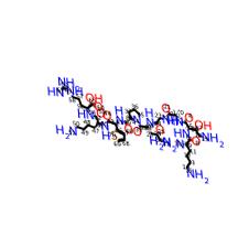 C[C@H](NC(=O)[C@@H](NC(=O)[C@@H](N)CCCCN)[C@@H](O)CN)C(=O)NCC(=O)N[C@H](CCCN)C(=O)N1CCC[C@H]1C(=O)NC(C(=O)N[C@@H](CCCCN)C(=O)NC(CCCNC(=N)N)C(=O)O)c1cccs1